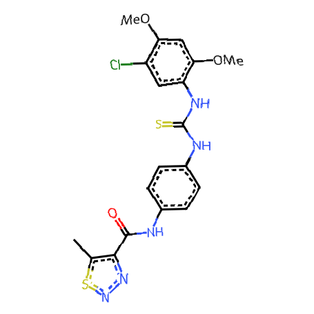 COc1cc(OC)c(NC(=S)Nc2ccc(NC(=O)c3nnsc3C)cc2)cc1Cl